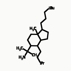 CC(C)CCC1C(C(C)(C)N)CCC2(C)C(CCCC(C)(C)C)CCC12